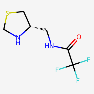 O=C(NC[C@H]1CSCN1)C(F)(F)F